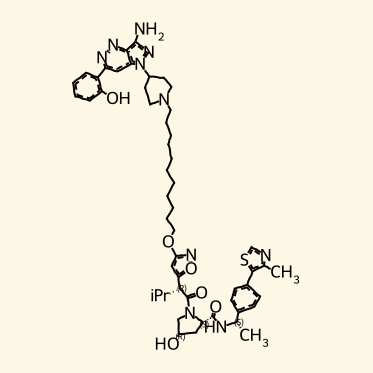 Cc1ncsc1-c1ccc([C@H](C)NC(=O)[C@@H]2C[C@@H](O)CN2C(=O)[C@@H](c2cc(OCCCCCCCCCCCN3CCC(n4nc(N)c5nnc(-c6ccccc6O)cc54)CC3)no2)C(C)C)cc1